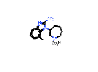 Cc1cccc2nc(N)n(C3CCCCN(C(=O)O)C3)c12